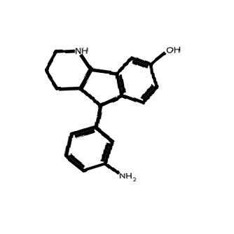 Nc1cccc(C2c3ccc(O)cc3C3NCCCC32)c1